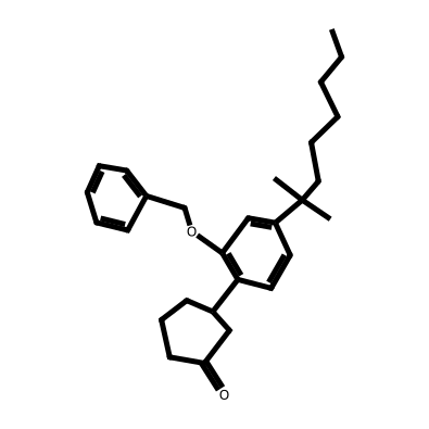 CCCCCCC(C)(C)c1ccc(C2CCCC(=O)C2)c(OCc2ccccc2)c1